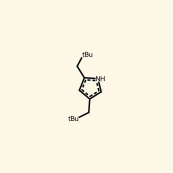 CC(C)(C)Cc1c[nH]c(CC(C)(C)C)c1